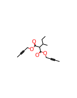 CC#CCOC(=O)C(C(=O)OCC#CC)C(C)CC